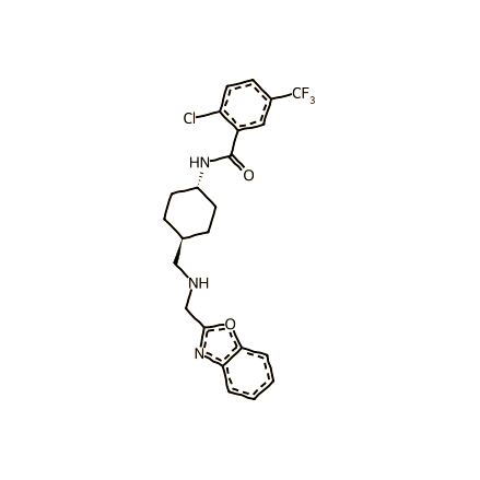 O=C(N[C@H]1CC[C@H](CNCc2nc3ccccc3o2)CC1)c1cc(C(F)(F)F)ccc1Cl